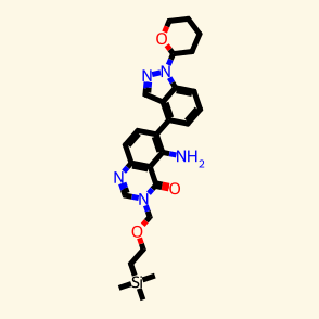 C[Si](C)(C)CCOCn1cnc2ccc(-c3cccc4c3cnn4C3CCCCO3)c(N)c2c1=O